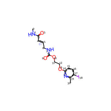 CNC(=O)/C=C/CNC(=O)OCCOc1ccc(I)c(C)n1